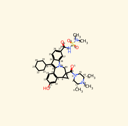 C[C@@H]1CN(C(=O)C23CC2c2cc(O)ccc2-c2c(C4CCCCC4)c4ccc(C(=O)NS(=O)(=O)N(C)C)cc4n2C3)C[C@H](C)N1C